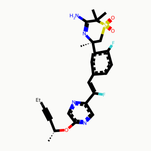 CCC#C[C@@H](C)Oc1cnc(/C(F)=C/c2ccc(F)c([C@]3(C)CS(=O)(=O)C(C)(C)C(N)=N3)c2)cn1